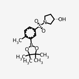 Cc1ccc(S(=O)(=O)N2CC[C@H](O)C2)cc1B1OC(C)(C)C(C)(C)O1